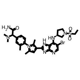 CCS(=O)(=O)N1CC[C@H](Nc2c(Br)cnc3nc(-c4cc(C)n(-c5ccc(C(C(N)=O)N(C)C)cc5C)c4C)[nH]c23)C1